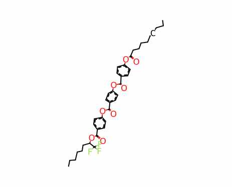 CCCCCCCCCC(=O)Oc1ccc(C(=O)Oc2ccc(C(=O)Oc3ccc(C(=O)OC(CCCCCC)C(F)(F)F)cc3)cc2)cc1